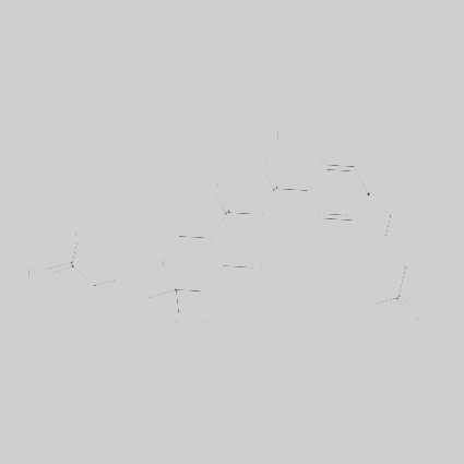 C=C(C)COCC1(C(=O)O)C=CC(C(=O)OC(=O)C2C=CC(COCC(=C)C)(C(=O)O)C=C2C(=O)O)C(C(=O)O)=C1